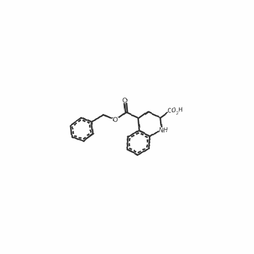 O=C(O)C1CC(C(=O)OCc2ccccc2)c2ccccc2N1